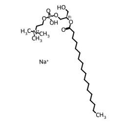 CCCCCCCCCCCCCCCCCC(=O)O[C@H](CO)COP(=O)(O)OCC[N+](C)(C)C.[Na+]